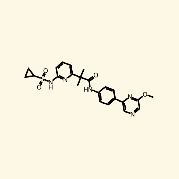 COc1cncc(-c2ccc(NC(=O)C(C)(C)c3cccc(NS(=O)(=O)C4CC4)n3)cc2)n1